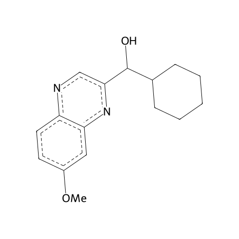 COc1ccc2ncc(C(O)C3CCCCC3)nc2c1